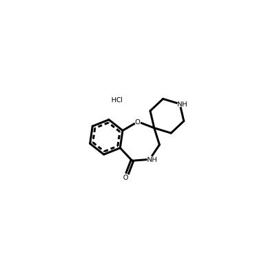 Cl.O=C1NCC2(CCNCC2)Oc2ccccc21